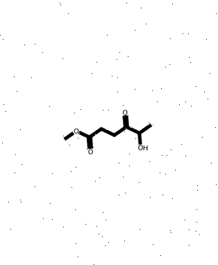 [CH2]C(O)C(=O)CCC(=O)OC